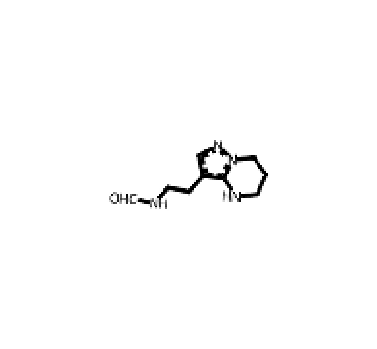 O=CNCCc1cnn2c1NCCC2